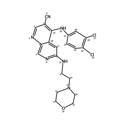 N#Cc1cnc2cnc(NCCN3CCOCC3)cc2c1Nc1ccc(Cl)c(Cl)c1